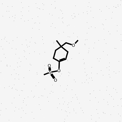 COCC1(C)CC=C(OS(C)(=O)=O)CC1